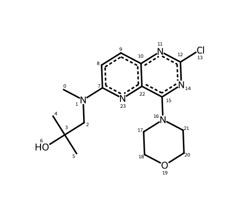 CN(CC(C)(C)O)c1ccc2nc(Cl)nc(N3CCOCC3)c2n1